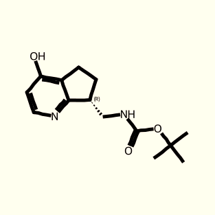 CC(C)(C)OC(=O)NC[C@H]1CCc2c(O)ccnc21